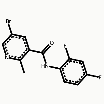 Cc1ncc(Br)cc1C(=O)Nc1ccc(F)cc1F